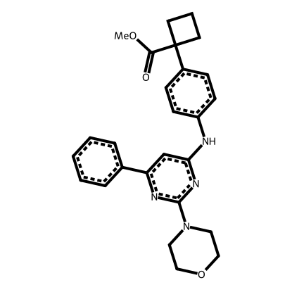 COC(=O)C1(c2ccc(Nc3cc(-c4ccccc4)nc(N4CCOCC4)n3)cc2)CCC1